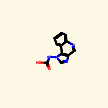 O=C(O)Nn1cnc2cnc3ccccc3c21